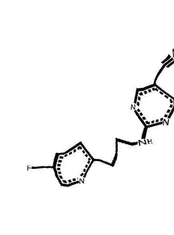 N#Cc1cnc(NCCc2ccc(F)cn2)nc1